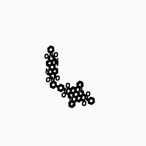 O=C1c2ccc3c4nnc5c6c(ccc(c7ncc(c2c37)C(=O)N1C1CCCC(C2CCC(N3C(=O)c7cnc8c9c(-c%10ccccc%10)cc%10c%11c(cnc(c%12c(-c%13ccccc%13)cc(c7c8%12)C3=O)c%119)C(=O)N(C3CCCCC3)C%10=O)CC2)C1)c64)C(=O)N(C1CCCCC1)C5=O